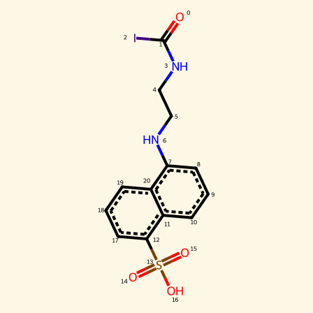 O=C(I)NCCNc1cccc2c(S(=O)(=O)O)cccc12